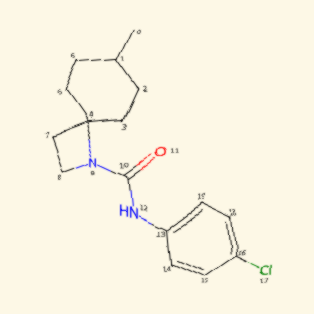 CC1CCC2(CC1)CCN2C(=O)Nc1ccc(Cl)cc1